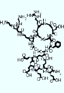 N=C(N)NCCC[C@@H]1CC(=O)[C@@H]2CSSC[C@H](NC(=O)[C@H](CC(=O)O)CC(=O)CNC1=O)C(=O)C[C@@H](Cc1ccccc1)C(=O)N[C@H](C(=O)CCC(=O)N[C@@H](CCC(=O)O)C(=O)C[C@@H](CCC(=O)O)C(=O)N[C@@H](CCC(=O)O)C(=O)C[C@@H](CCC(=O)O)C(=O)N[C@@H](CCC(=O)O)C(N)=O)CSCC(=O)N[C@@H](CCCCNC(=O)CC(CNCCN)CNCCN)C(=O)N2